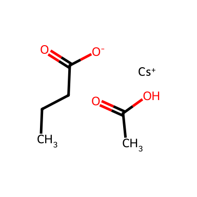 CC(=O)O.CCCC(=O)[O-].[Cs+]